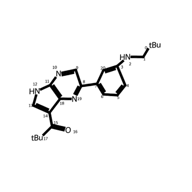 CC(C)(C)CNc1cccc(-c2cnc3[nH]cc(C(=O)C(C)(C)C)c3n2)c1